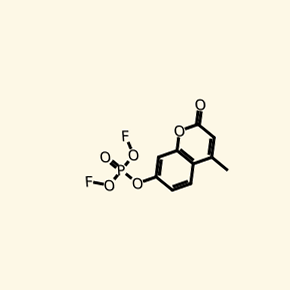 Cc1cc(=O)oc2cc(OP(=O)(OF)OF)ccc12